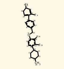 CCC1C=C(F)C(c2ccc(COc3ccc(C4CCC(C)CC4)c(F)c3F)cc2)=CC1